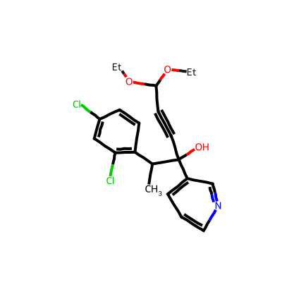 CCOC(C#CC(O)(c1cccnc1)C(C)c1ccc(Cl)cc1Cl)OCC